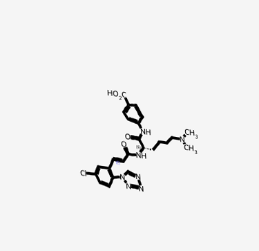 CN(C)CCCC[C@H](NC(=O)/C=C/c1cc(Cl)ccc1-n1cnnn1)C(=O)Nc1ccc(C(=O)O)cc1